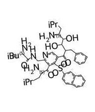 CC[C@@H](C)[C@H](N)C(=O)NCc1ncc(C(=O)C(Cc2ccccc2)C(O)C(O)[C@@H](N)CC(C)C)c(S(=O)(=O)c2ccc3ccccc3c2)c1C(=O)[C@@H](N)CC(C)C